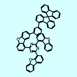 c1cc(-c2ccc3oc4cccc(-c5nc(-c6cccc7c6oc6ccccc67)nc(-c6cccc7sc8ccccc8c67)n5)c4c3c2)cc(-c2cccc3c2-c2ccccc2C32c3ccccc3-c3ccccc32)c1